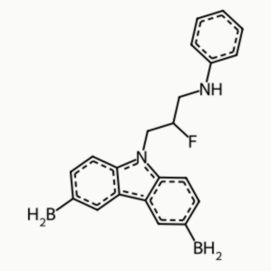 Bc1ccc2c(c1)c1cc(B)ccc1n2CC(F)CNc1ccccc1